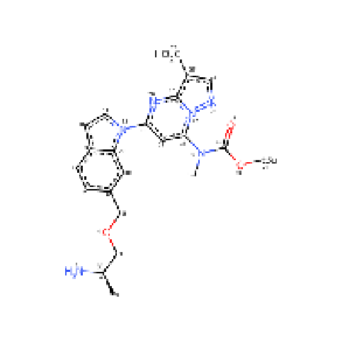 C[C@@H](N)COCc1ccc2ccn(-c3cc(N(C)C(=O)OC(C)(C)C)n4ncc(C(=O)O)c4n3)c2c1